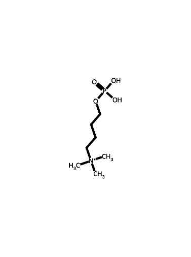 C[N+](C)(C)CCCCOP(=O)(O)O